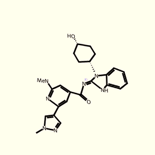 CNc1cc(C(=O)/N=c2\[nH]c3ccccc3n2[C@H]2CC[C@@H](O)CC2)cc(-c2cnn(C)c2)n1